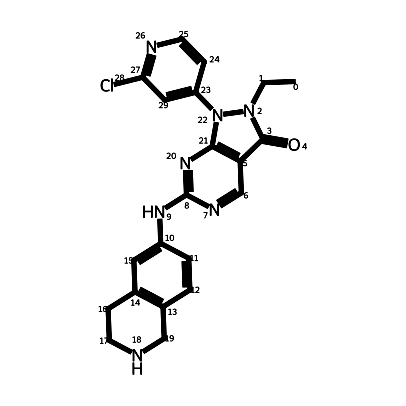 CCn1c(=O)c2cnc(Nc3ccc4c(c3)CCNC4)nc2n1-c1ccnc(Cl)c1